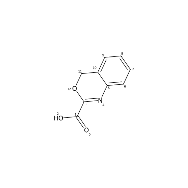 O=C(O)C1=Nc2ccccc2CO1